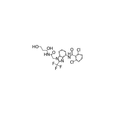 O=C(Cn1c(C(F)(F)F)nc2c(NC(=O)c3c(Cl)cccc3Cl)cccc21)NC(O)CCO